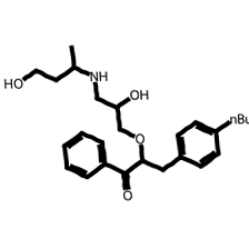 CCCCc1ccc(CC(OCC(O)CNC(C)CCO)C(=O)c2ccccc2)cc1